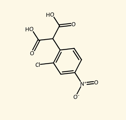 O=C(O)C(C(=O)O)c1ccc([N+](=O)[O-])cc1Cl